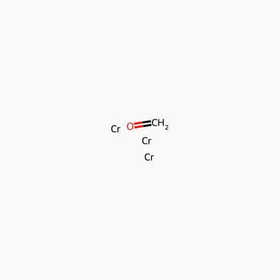 C=O.[Cr].[Cr].[Cr]